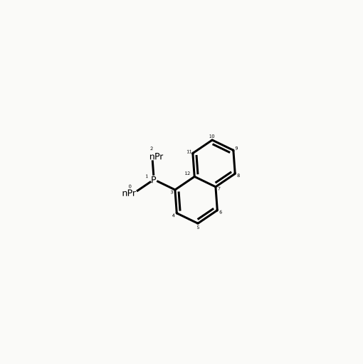 CCCP(CCC)c1cccc2ccccc12